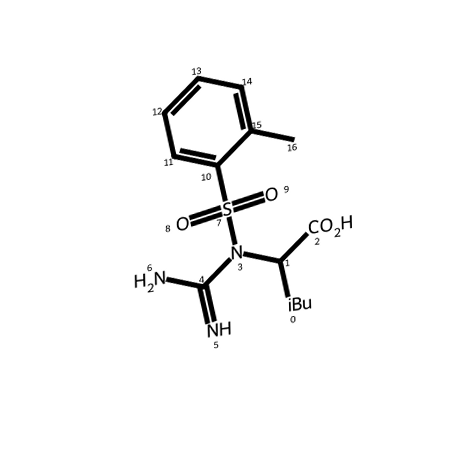 CCC(C)C(C(=O)O)N(C(=N)N)S(=O)(=O)c1ccccc1C